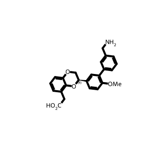 COc1ccc([C@@H]2COc3cccc(CC(=O)O)c3O2)cc1-c1cccc(CN)c1